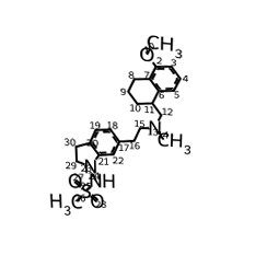 COc1cccc2c1CCCC2CN(C)CCc1ccc2c(c1)N(NS(C)(=O)=O)CC2